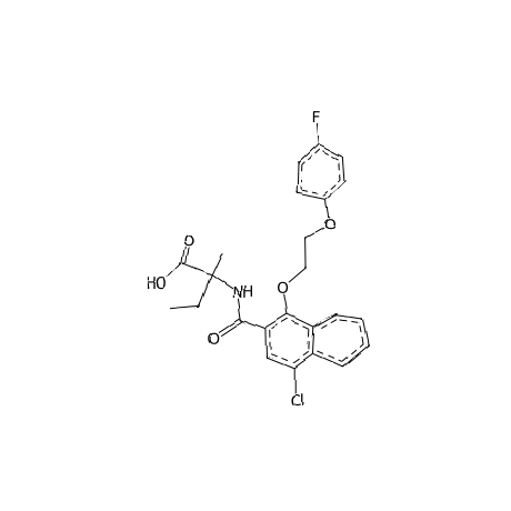 CCC(C)(NC(=O)c1cc(Cl)c2ccccc2c1OCCOc1ccc(F)cc1)C(=O)O